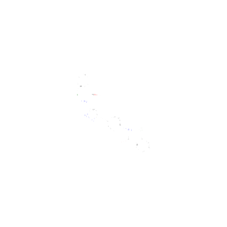 Cn1nc(-c2ccc(NC(=O)c3ccccc3Cl)cc2)cc1NC(=O)c1ccccc1Br